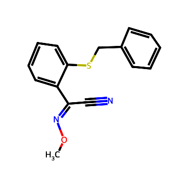 CO/N=C(\C#N)c1ccccc1SCc1ccccc1